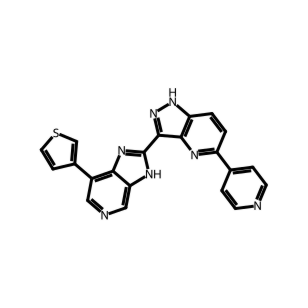 c1cc(-c2ccc3[nH]nc(-c4nc5c(-c6ccsc6)cncc5[nH]4)c3n2)ccn1